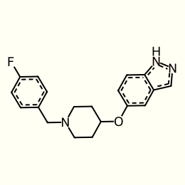 Fc1ccc(CN2CCC(Oc3ccc4[nH]ncc4c3)CC2)cc1